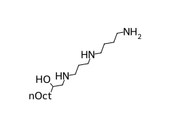 CCCCCCCCC(O)CNCCCNCCCCN